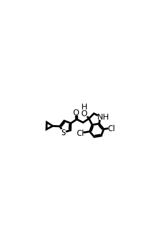 O=C(CC1(O)CNc2c(Cl)ccc(Cl)c21)c1csc(C2CC2)c1